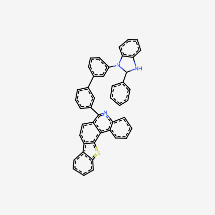 c1ccc(C2Nc3ccccc3N2c2cccc(-c3cccc(-c4nc5ccccc5c5c4ccc4c6ccccc6sc45)c3)c2)cc1